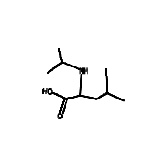 CC(C)CC(NC(C)C)C(=O)O